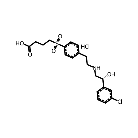 Cl.O=C(O)CCCS(=O)(=O)c1ccc(CCNC[C@H](O)c2cccc(Cl)c2)cc1